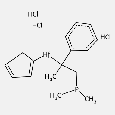 CP(C)C[C](C)([Hf][C]1=CC=CC1)c1ccccc1.Cl.Cl.Cl